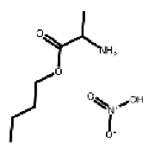 CCCCOC(=O)C(C)N.O=[N+]([O-])O